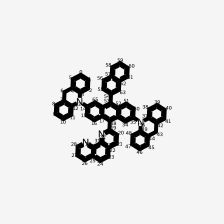 c1ccc2c(c1)Cc1ccccc1N2c1ccc2c(-c3ccc4ccc5cccnc5c4n3)c3cc(N4c5ccccc5Cc5ccccc54)ccc3c(-c3ccc4ccccc4c3)c2c1